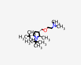 C[C@@H]1[C@@H](COCCN(C)C)C[C@@H](C(C)(C)C)N1C(C)(C)C